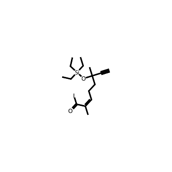 C#CC(C)(CCC=C(C)C(=O)I)O[Si](CC)(CC)CC